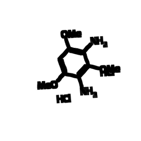 COc1cc(OC)c(N)c(OC)c1N.Cl.Cl